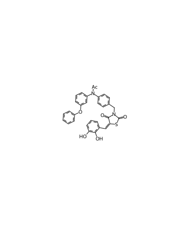 CC(=O)N(c1ccc(CN2C(=O)SC(=Cc3cccc(O)c3O)C2=O)cc1)c1cccc(Oc2ccccc2)c1